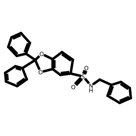 O=S(=O)(NCc1ccccc1)c1ccc2c(c1)OC(c1ccccc1)(c1ccccc1)O2